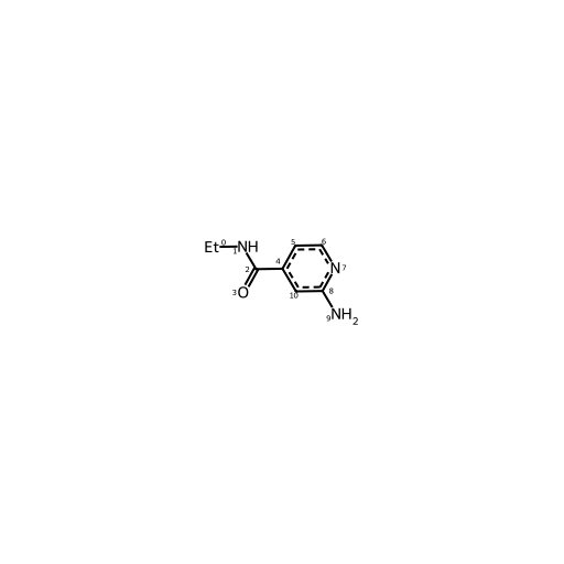 CCNC(=O)c1ccnc(N)c1